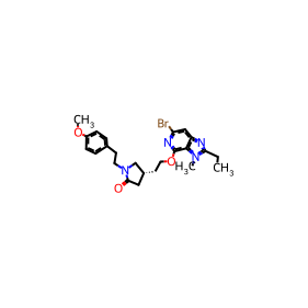 CCc1nc2cc(Br)nc(OCC[C@@H]3CC(=O)N(CCc4ccc(OC)cc4)C3)c2n1C